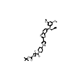 C#CCN(c1cc(OC)cc(OC)c1)c1ccc2ncc(-c3cnn(C4CCN(C(=O)C5(F)CN(C(=O)OC(C)(C)C)C5)CC4)c3)nc2c1